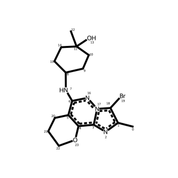 Cc1nc2c3c(c(NC4CCC(C)(O)CC4)nn2c1Br)CCCO3